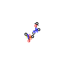 COCCN(c1nc2ccccc2s1)S(=O)(=O)c1cccc(C2CCN(Cc3nc4ccccc4n3CCOc3c(C)cccc3C)CC2)c1